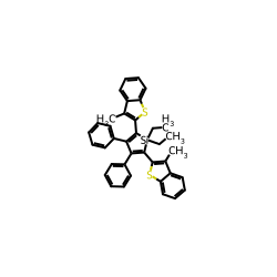 CC[Si]1(CC)C(c2sc3ccccc3c2C)=C(c2ccccc2)C(c2ccccc2)=C1c1sc2ccccc2c1C